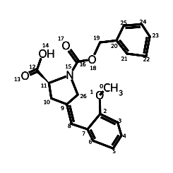 COc1ccccc1/C=C1/C[C@@H](C(=O)O)N(C(=O)OCc2ccccc2)C1